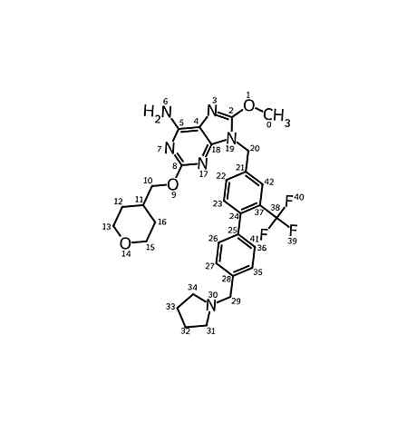 COc1nc2c(N)nc(OCC3CCOCC3)nc2n1Cc1ccc(-c2ccc(CN3CCCC3)cc2)c(C(F)(F)F)c1